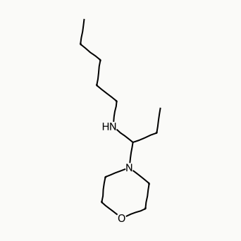 CCCCCNC(CC)N1CCOCC1